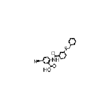 N#Cc1ccc(NC(=O)c2cccc(SCc3ccccc3)c2)c(C(=O)O)c1